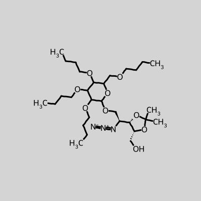 CCCCOCC1OC(OC[C@H](N=[N+]=[N-])[C@@H]2OC(C)(C)O[C@@H]2CO)C(OCCCC)C(OCCCC)C1OCCCC